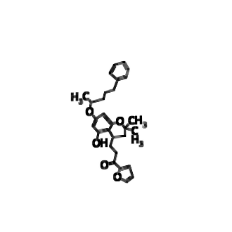 CC(CCCc1ccccc1)Oc1cc(O)c2c(c1)OC(C)(C)CC2CCC(=O)c1ccco1